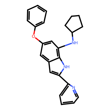 c1ccc(Oc2cc(NC3CCCC3)c3[nH]c(-c4ccccn4)cc3c2)cc1